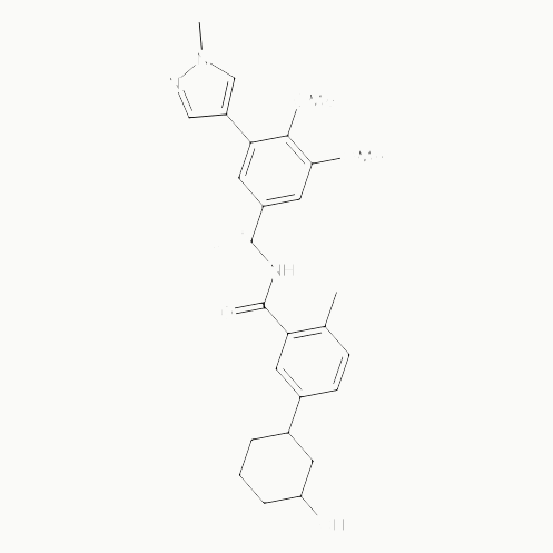 COc1cc([C@@H](C)NC(=O)c2cc(C3CCCC(O)C3)ccc2C)cc(-c2cnn(C)c2)c1OC